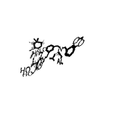 CC(C)C[C@@H](CN(C)C)N(Cc1cccc(CN2O[C@@H](CO)[C@@H]([C@H](C)O)[C@H]2C(=O)N[C@H]2C[C@@H](C)C(C)(C)[C@@H](C)[C@@H]2C)c1)Cc1cccc2c1OCO2